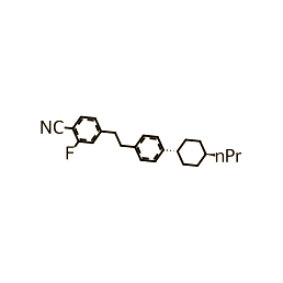 CCC[C@H]1CC[C@H](c2ccc(CCc3ccc(C#N)c(F)c3)cc2)CC1